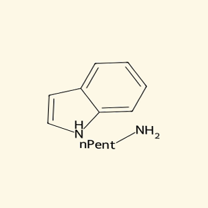 CCCCCN.c1ccc2[nH]ccc2c1